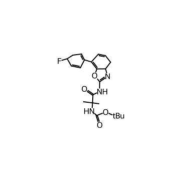 CC(C)(C)OC(=O)NC(C)(C)C(=O)NC1=NC2CC=CC(C3=CCC(F)C=C3)=C2O1